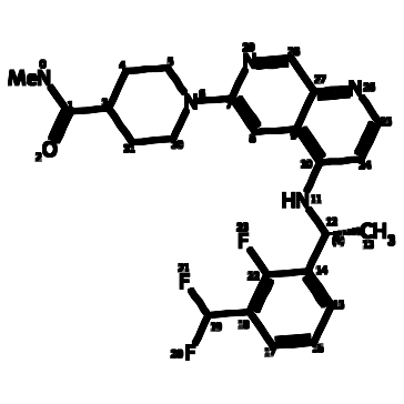 CNC(=O)C1CCN(c2cc3c(N[C@H](C)c4cccc(C(F)F)c4F)ccnc3cn2)CC1